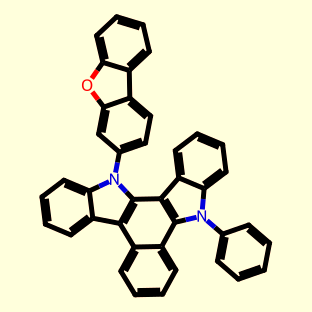 c1ccc(-n2c3ccccc3c3c2c2ccccc2c2c4ccccc4n(-c4ccc5c(c4)oc4ccccc45)c23)cc1